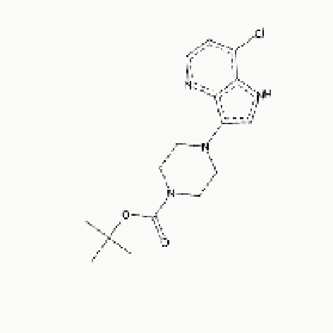 CC(C)(C)OC(=O)N1CCN(c2c[nH]c3c(Cl)ccnc23)CC1